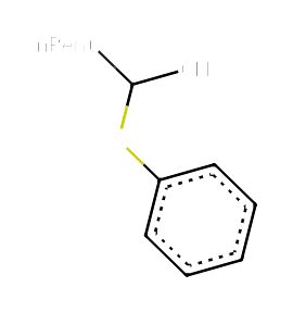 C[CH]CCCC(C)Sc1ccccc1